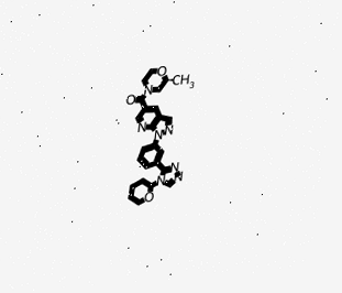 C[C@@H]1CN(C(=O)c2cnc3c(cnn3-c3cccc(-c4nncn4C4CCCCO4)c3)c2)CCO1